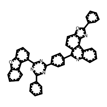 c1ccc(-c2nc(-c3ccc(-c4nc5ccccc5c5c4ccc4oc(-c6ccccc6)nc45)cc3)nc(-c3cccc4oc5ccccc5c34)n2)cc1